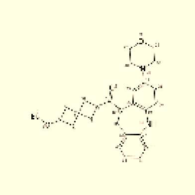 CCOC1CC2(C1)CC(C(=O)N1Cc3cccnc3Nc3ccc(N4CCOCC4)cc31)C2